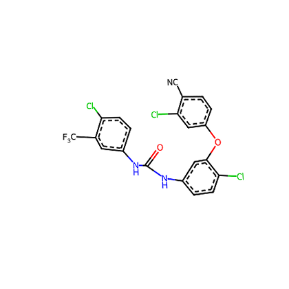 N#Cc1ccc(Oc2cc(NC(=O)Nc3ccc(Cl)c(C(F)(F)F)c3)ccc2Cl)cc1Cl